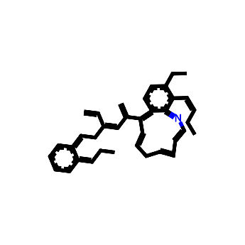 C=C/C(=C\C(=C)C1=c2\ccc(CC)c(/C=C\CC)\c2=N\C=C\C=C\C\C=C\1)C/C=c1/cccc/c1=C/CC